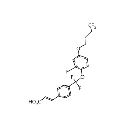 O=C(O)/C=C/c1ccc(C(F)(F)Oc2ccc(OCCCC(F)(F)F)cc2F)cc1